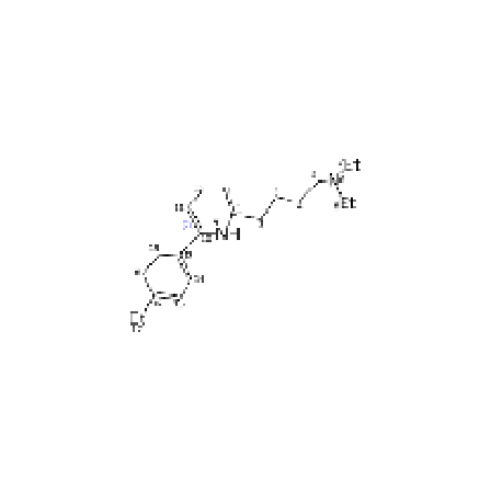 C=C(CCCCN(CC)CC)N/C(=C\C)C1=CC=C(CC)CC1